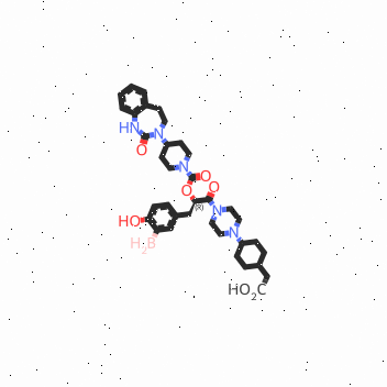 Bc1cc(C[C@@H](OC(=O)N2CCC(N3CCc4ccccc4NC3=O)CC2)C(=O)N2CCN(C3CCC(CC(=O)O)CC3)CC2)ccc1O